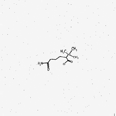 C[N+](C)(C)C(CCCC(N)=O)C(=O)[O-]